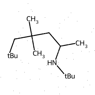 CC(CC(C)(C)CC(C)(C)C)NC(C)(C)C